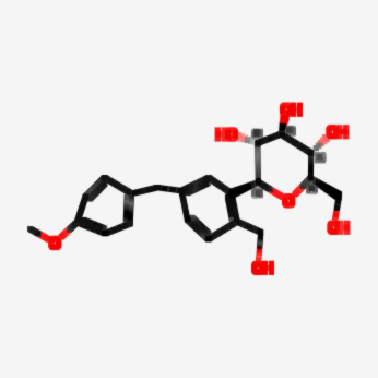 COc1ccc(Cc2ccc(CO)c([C@@H]3O[C@H](CO)[C@@H](O)[C@H](O)[C@H]3O)c2)cc1